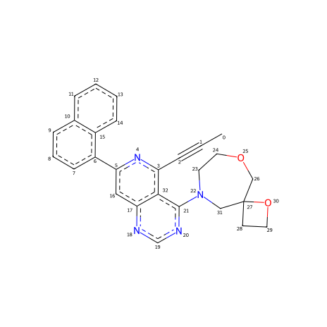 CC#Cc1nc(-c2cccc3ccccc23)cc2ncnc(N3CCOCC4(CCO4)C3)c12